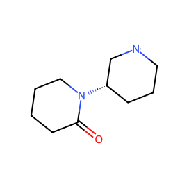 O=C1CCCCN1[C@H]1CCC[N]C1